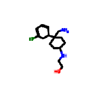 NCC1(C2C=CC=C(Cl)C2)CCC(NCCO)CC1